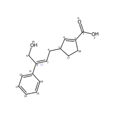 O=C(O)C1=CC(C/C=C(\CO)c2ccccc2)CC1